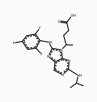 CC(C)Nc1ncc2nc(Nc3c(F)cc(F)cc3F)n(C(C)CCC(=O)O)c2n1